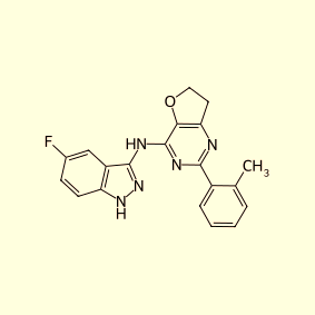 Cc1ccccc1-c1nc2c(c(Nc3n[nH]c4ccc(F)cc34)n1)OCC2